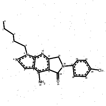 CCCCCn1ncc2c(N)c3c(nc21)CN(c1ccc(Cl)cc1)C3=O